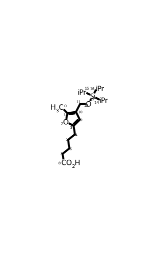 Cc1oc(CCCCC(=O)O)cc1CO[Si](C(C)C)(C(C)C)C(C)C